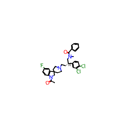 CC(=O)N1CC2(CCN(CC[C@H](CN(C)C(=O)c3ccccc3)c3ccc(Cl)c(Cl)c3)CC2)c2cc(F)ccc21